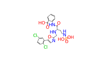 O=C(O)c1ccccc1NC(=O)C(CCNP(=O)(O)O)NCc1ncc(-c2cc(Cl)ccc2Cl)o1